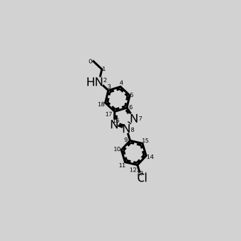 CCNc1ccc2nn(-c3ccc(Cl)cc3)nc2c1